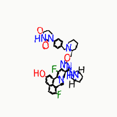 C#Cc1c(F)ccc2cc(O)cc(-c3ncc4c(N5C[C@H]6CC[C@@H](C5)N6)nc(OC[C@@H]5CCCCN5Cc5ccc(N6CCC(=O)NC6=O)cc5)nc4c3F)c12